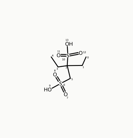 CCC(CC)(CS(=O)(=O)O)S(=O)(=O)O